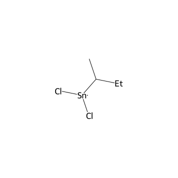 CC[CH](C)[Sn]([Cl])[Cl]